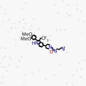 COc1ccc(-c2[nH]c3ccc(C4CCN(CC(=O)N(C)CCCN(C)C)CC4)cc3c2CC(F)(F)F)cc1OC